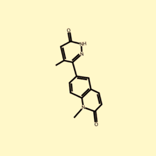 Cc1cc(=O)[nH]nc1-c1ccc2c(ccc(=O)n2C)c1